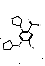 NC(=O)c1cc([N+](=O)[O-])c(NC2CCCC2)cc1C1CCCC1